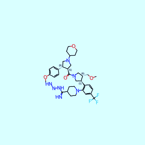 COC[C@H]1CN(C(=O)[C@@H]2CN(C3CCOCC3)C[C@H]2c2ccc(OC)cc2)C[C@@H]1c1ccc(C(F)(F)F)cc1N1CCC(C(=N)NN=N)CC1